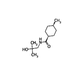 CC(C)(O)CNC(=O)[C@H]1CC[C@@H](C)CC1